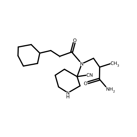 CC(CN(C(=O)[CH]CC1CCCCC1)C1(C#N)CCCNC1)C(N)=O